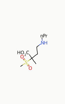 CCCNCCC(C)(C(=O)O)S(C)(=O)=O